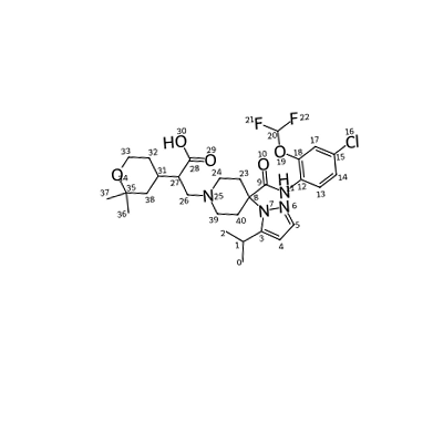 CC(C)c1ccnn1C1(C(=O)Nc2ccc(Cl)cc2OC(F)F)CCN(CC(C(=O)O)C2CCOC(C)(C)C2)CC1